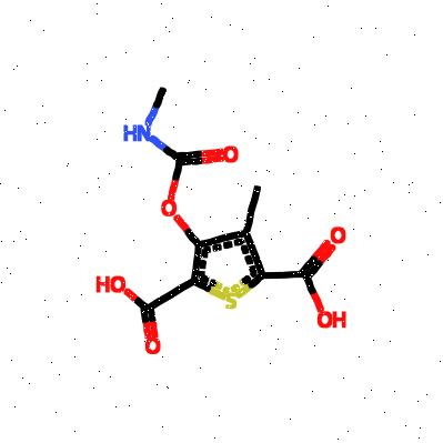 CNC(=O)Oc1c(C(=O)O)sc(C(=O)O)c1C